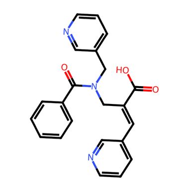 O=C(O)/C(=C/c1cccnc1)CN(Cc1cccnc1)C(=O)c1ccccc1